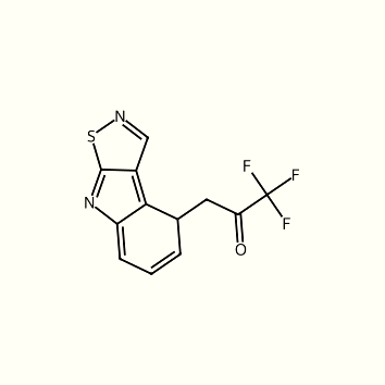 O=C(CC1C=CC=C2N=c3sncc3=C21)C(F)(F)F